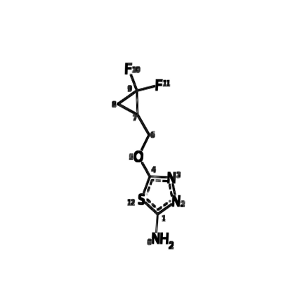 Nc1nnc(OCC2CC2(F)F)s1